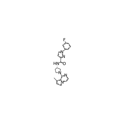 Cc1ccn2ccnc(N3CC[C@H](NC(=O)c4ccn(-c5cccc(F)c5)n4)C3)c12